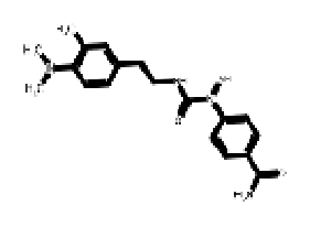 Cc1cc(CCNC(=O)N(S)c2ccc(C(N)=O)cc2)ccc1N(C)C